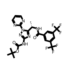 C[C@H](NC(=O)c1cc(C(F)(F)F)cc(C(F)(F)F)c1)c1nc(NC(=O)OC(C)(C)C)nn1-c1ncccn1